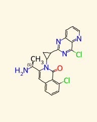 C[C@H](N)c1cc2cccc(Cl)c2c(=O)n1C1CC1c1nc(Cl)c2ncccc2n1